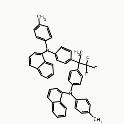 Cc1ccc(N(c2ccc(C(C)(c3ccc(N(c4ccc(C)cc4)c4cccc5ccccc45)cc3)C(F)(F)F)cc2)c2cccc3ccccc23)cc1